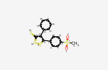 CS(=O)(=O)c1ccc(-c2ssc(=S)c2-c2ccccc2)cc1